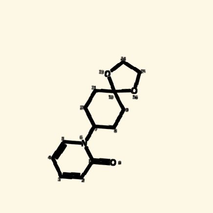 O=c1ccccn1C1CCC2(CC1)OCCO2